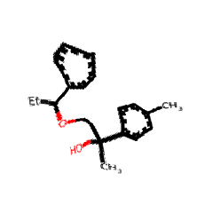 CCC(OCC(C)(O)c1ccc(C)cc1)c1ccccc1